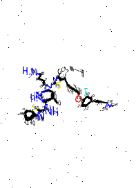 C/C(=C/C(=N)N(CCCCN)c1nc(C(=O)O)c(CCCOc2ccc(C#CCN(C)C)cc2F)s1)C(=N)Nc1nc2ccccc2s1